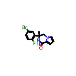 CC1(c2cc(Br)ccc2F)Cn2cccc2C(=O)N1